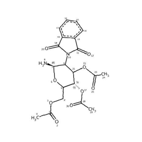 CC(=O)OCC1O[C@@H](N)C(N2C(=O)c3ccccc3C2=O)C(OC(C)=O)[C@@H]1OC(C)=O